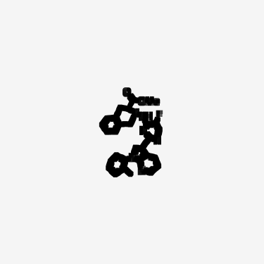 COC(=O)[C@@H]1Cc2ccccc2CN1Nc1nc(-c2cn(-c3ccccc3C)c3ncccc23)ncc1F